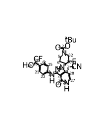 CC(C)(C)OC(=O)N1CC[C@](CC#N)(n2nc(Nc3ccc(C(O)C(F)(F)F)cc3)c3c(=O)[nH]ccc32)[C@H](F)C1